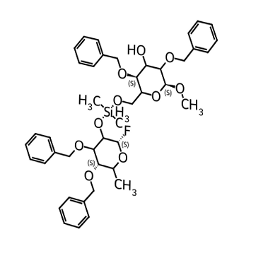 CO[C@H]1OC(CO[Si](C)(C)OC2C(OCc3ccccc3)[C@@H](OCc3ccccc3)C(C)O[C@H]2F)[C@@H](OCc2ccccc2)C(O)C1OCc1ccccc1